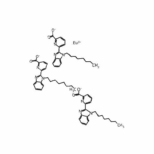 CCCCCCCCn1c(-c2cccc(C(=O)[O-])n2)nc2ccccc21.CCCCCCCCn1c(-c2cccc(C(=O)[O-])n2)nc2ccccc21.CCCCCCCCn1c(-c2cccc(C(=O)[O-])n2)nc2ccccc21.[Eu+3]